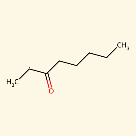 C[CH]C(=O)CCCCC